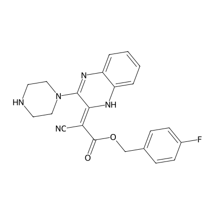 N#CC(C(=O)OCc1ccc(F)cc1)=C1Nc2ccccc2N=C1N1CCNCC1